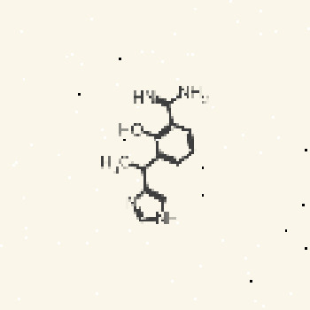 CC(c1c[nH]cn1)c1cccc(C(=N)N)c1O